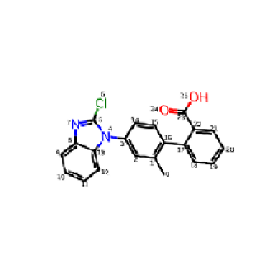 Cc1cc(-n2c(Cl)nc3ccccc32)ccc1-c1ccccc1C(=O)O